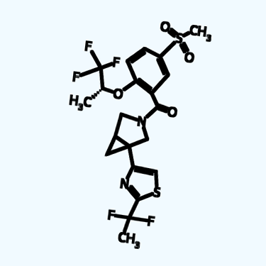 C[C@@H](Oc1ccc(S(C)(=O)=O)cc1C(=O)N1CC2CC2(c2csc(C(C)(F)F)n2)C1)C(F)(F)F